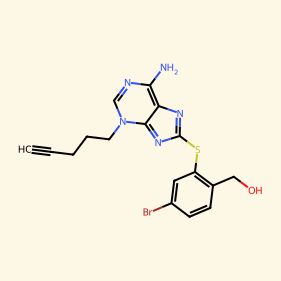 C#CCCCn1cnc(N)c2nc(Sc3cc(Br)ccc3CO)nc1-2